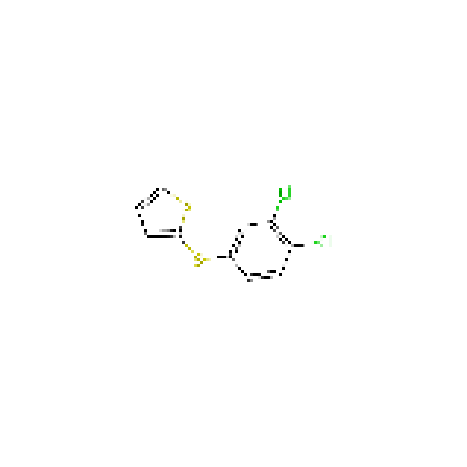 Clc1ccc(Sc2cccs2)cc1Cl